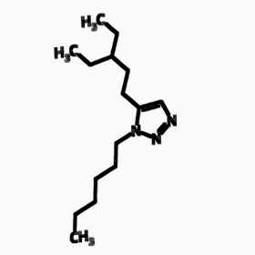 CCCCCCn1nncc1CCC(CC)CC